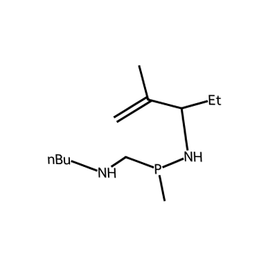 C=C(C)C(CC)NP(C)CNCCCC